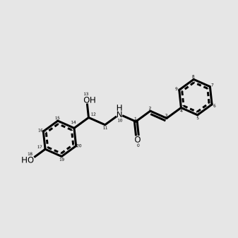 O=C(C=Cc1ccccc1)NCC(O)c1ccc(O)cc1